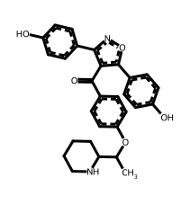 CC(Oc1ccc(C(=O)c2c(-c3ccc(O)cc3)noc2-c2ccc(O)cc2)cc1)C1CCCCN1